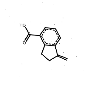 C=C1CCc2c1cccc2C(=O)O